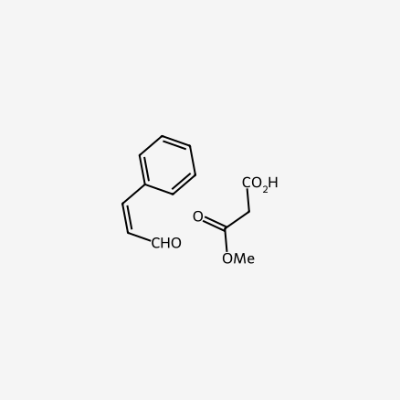 COC(=O)CC(=O)O.O=C/C=C\c1ccccc1